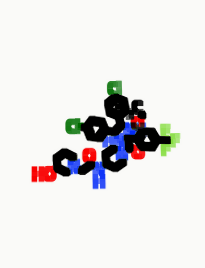 CCOc1cc(C(F)(F)F)ccc1C1(C(=O)N2CCC(NC(=O)CN3CCCC(O)C3)CC2)NC(c2ccc(Cl)cc2)C(c2ccc(Cl)cc2)N1